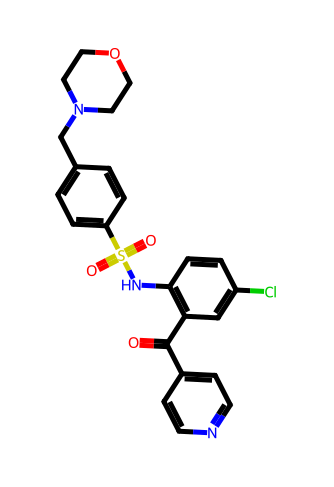 O=C(c1ccncc1)c1cc(Cl)ccc1NS(=O)(=O)c1ccc(CN2CCOCC2)cc1